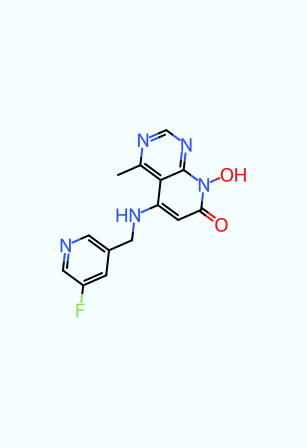 Cc1ncnc2c1c(NCc1cncc(F)c1)cc(=O)n2O